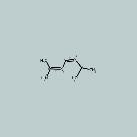 C/C(N)=N\C=N/C(C)O